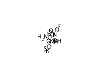 Cc1nc2ccc(C(=O)NC[C@](C)(O)c3cc4c(c(-c5ccc(F)cc5)n3)OC[C@]4(C)C(N)=O)cc2s1